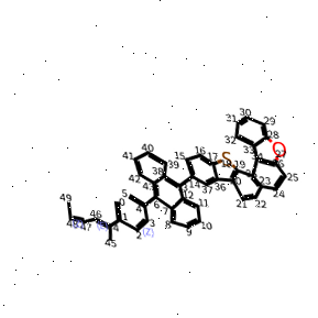 C=C(/C=C\C(=C)c1c2ccccc2c(-c2ccc3sc4c(ccc5ccc6oc7ccccc7c6c54)c3c2)c2ccccc12)/C(C)=C/C=C\C